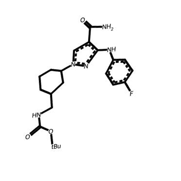 CC(C)(C)OC(=O)NCC1CCCC(n2cc(C(N)=O)c(Nc3ccc(F)cc3)n2)C1